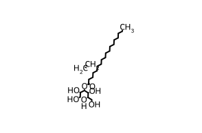 C=C.CCCCCCCCCCCCCCCCCC(=O)O[C@@H]([C@H](O)[C@@H](O)CO)[C@H](O)CO